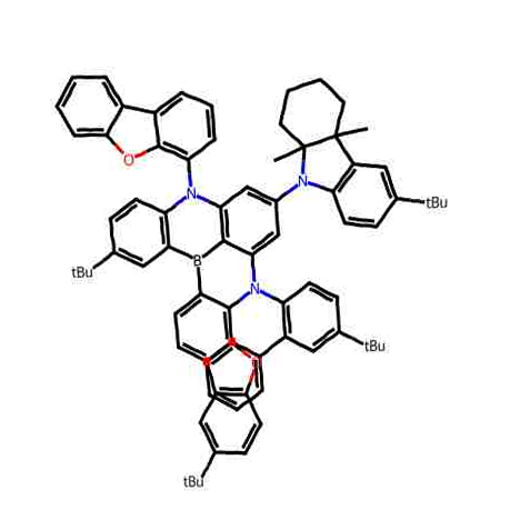 CC(C)(C)c1ccc2c(c1)B1c3ccc4c(oc5ccc(C(C)(C)C)cc54)c3N(c3ccc(C(C)(C)C)cc3-c3ccccc3)c3cc(N4c5ccc(C(C)(C)C)cc5C5(C)CCCCC45C)cc(c31)N2c1cccc2c1oc1ccccc12